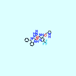 N=C(NC1N=C(c2ccccc2)c2ccccc2NC1=O)OC(=N)c1ncc(C(F)(F)F)cc1COCC1CCCN1